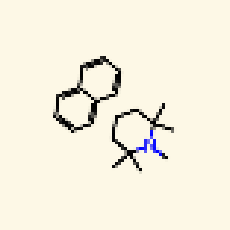 CN1C(C)(C)CCCC1(C)C.c1ccc2ccccc2c1